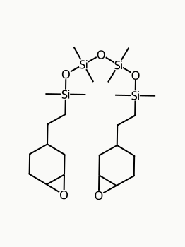 C[Si](C)(CCC1CCC2OC2C1)O[Si](C)(C)O[Si](C)(C)O[Si](C)(C)CCC1CCC2OC2C1